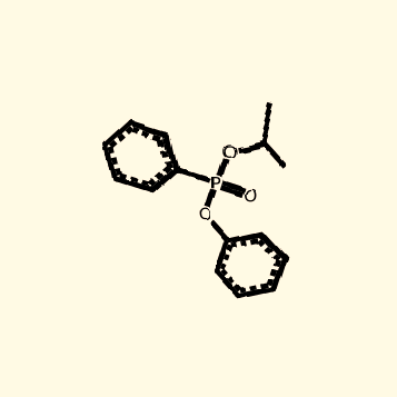 CC(C)OP(=O)(Oc1ccccc1)c1ccccc1